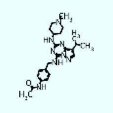 CC(=O)Nc1ccc(CNc2nc(NC3CCN(C)CC3)nc3c(C(C)C)cnn23)cc1